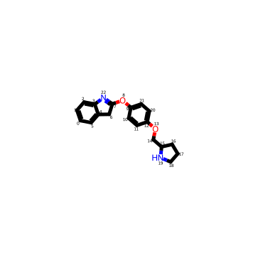 c1ccc2c(c1)CC(Oc1ccc(OCC3CCCN3)cc1)=N2